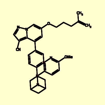 C=C(C)CCCOc1cc(-c2ccc(N3CC4CC(C3)N4Cc3ccc(OC)nc3)nc2)c2c(C#N)cnn2c1